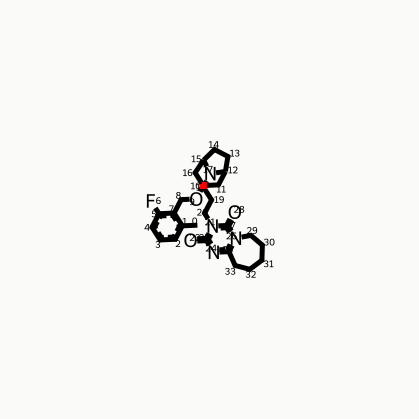 Cc1cccc(F)c1COC1CC2CCC(C1)N2CCCn1c(=O)nc2n(c1=O)CCCCC2